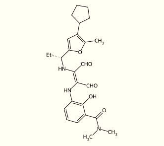 CC[C@@H](N/C(C=O)=C(/C=O)Nc1cccc(C(=O)N(C)C)c1O)c1cc(C2CCCC2)c(C)o1